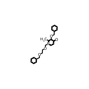 Cc1c(OCc2ccccc2)c(=O)ccn1COCCOCc1ccccc1